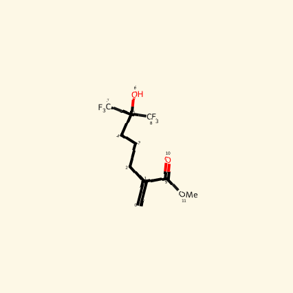 C=C(CCCC(O)(C(F)(F)F)C(F)(F)F)C(=O)OC